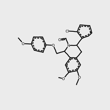 COc1ccc(OCC2c3cc(OC)c(OC)cc3CC(c3ccccc3Cl)N2C=O)cc1